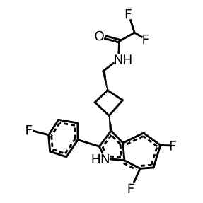 O=C(NC[C@H]1C[C@@H](c2c(-c3ccc(F)cc3)[nH]c3c(F)cc(F)cc32)C1)C(F)F